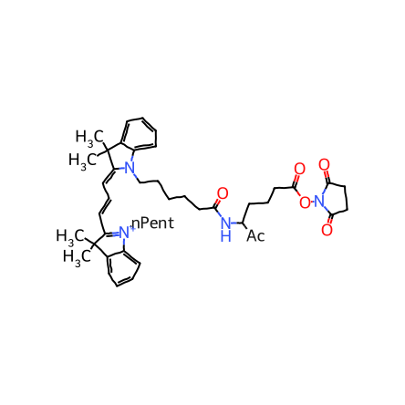 CCCCC[N+]1=C(/C=C/C=C2\N(CCCCCC(=O)NC(CCCC(=O)ON3C(=O)CCC3=O)C(C)=O)c3ccccc3C2(C)C)C(C)(C)c2ccccc21